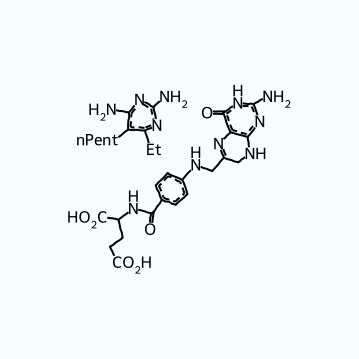 CCCCCc1c(N)nc(N)nc1CC.Nc1nc2c(c(=O)[nH]1)N=C(CNc1ccc(C(=O)NC(CCC(=O)O)C(=O)O)cc1)CN2